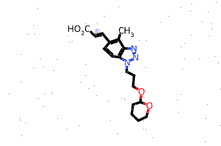 Cc1c(/C=C/C(=O)O)ccc2c1nnn2CCCOC1CCCCO1